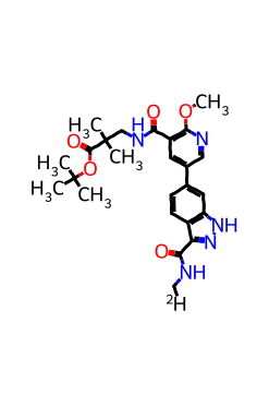 [2H]CNC(=O)c1n[nH]c2cc(-c3cnc(OC)c(C(=O)NCC(C)(C)C(=O)OC(C)(C)C)c3)ccc12